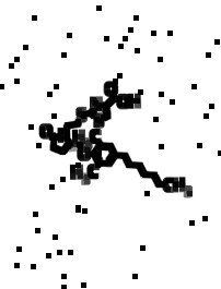 CCCCCCCc1cc(C)c(OC[C@H]2CCC(=O)N2CCSc2nc(C(=O)O)cs2)c(C)c1